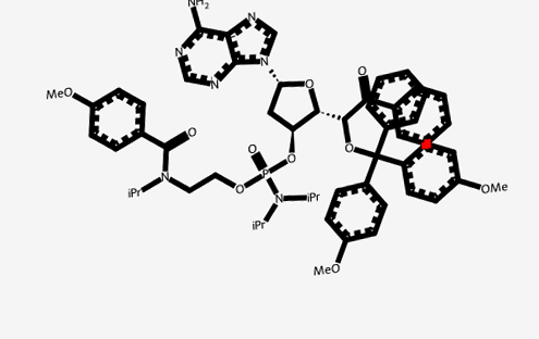 COc1ccc(C(=O)N(CCOP(=O)(O[C@H]2C[C@H](n3cnc4c(N)ncnc43)O[C@@H]2C(OC(c2ccccc2)(c2ccc(OC)cc2)c2ccc(OC)cc2)C(=O)c2ccccc2)N(C(C)C)C(C)C)C(C)C)cc1